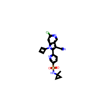 CC1(NS(=O)(=O)c2ccc(-c3c(C#N)c4cnc(Cl)cc4n3C3=CC=C3)nc2)CC1